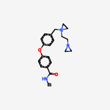 CCNC(=O)c1ccc(Oc2ccc(C[N+]3(CCN4CC4)CC3)cc2)cc1